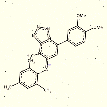 COc1ccc(-c2c/c(=N/c3c(C)cc(C)cc3C)n(C)c3nnnn23)cc1OC